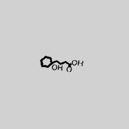 O=C(O)CCCC1(O)CCCCC1